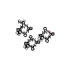 O=S(=O)([O-])c1cccc2c3nc4nc(nc5[nH]c(nc6nc(nc([nH]3)c12)-c1ccccc1-6)c1ccccc51)-c1ccccc1-4.O=S(=O)([O-])c1cccc2c3nc4nc(nc5[nH]c(nc6nc(nc([nH]3)c12)-c1ccccc1-6)c1ccccc51)-c1ccccc1-4.O=S(=O)([O-])c1cccc2c3nc4nc(nc5[nH]c(nc6nc(nc([nH]3)c12)-c1ccccc1-6)c1ccccc51)-c1ccccc1-4.[Cu+2].[Na+]